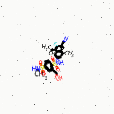 CNS(=O)(=O)c1ccc(S(=O)(=O)NC2=CC(C)c3cc(C#N)c(F)c(C(C)C)c3C2)c(CO)c1